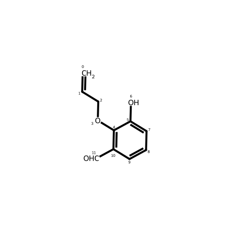 C=CCOc1c(O)cccc1C=O